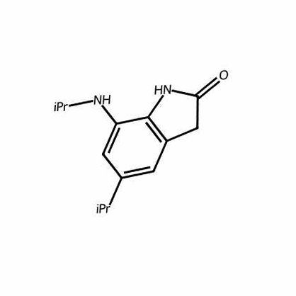 CC(C)Nc1cc(C(C)C)cc2c1NC(=O)C2